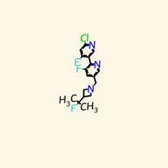 CC(C)(F)C1CN(Cc2cnc(-c3cnc(Cl)cc3F)c(F)c2)C1